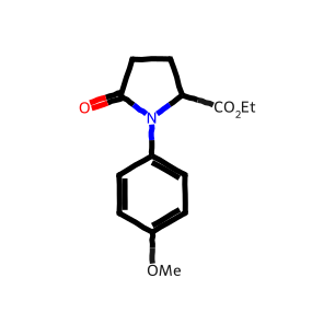 CCOC(=O)C1CCC(=O)N1c1ccc(OC)cc1